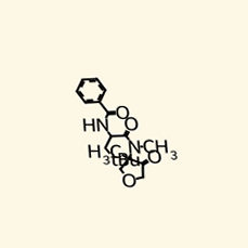 CN(C(=O)C(CC(C)(C)C)NC(=O)c1ccccc1)C1(C)COCC1=O